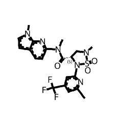 Cc1cc(C(F)(F)F)cc(N2[C@H](C(=O)N(C)c3ccc4ccn(C)c4n3)CN(C)S2(=O)=O)n1